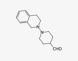 O=CC1CCN(N2CCc3ccccc3C2)CC1